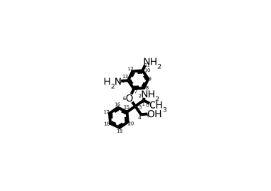 CC(N)C(CO)(Oc1ccc(N)cc1N)c1ccccc1